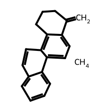 C.C=C1CCCc2c1ccc1c2ccc2ccccc21